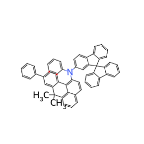 CC1(C)c2cc(-c3ccccc3)ccc2-c2c(N(c3ccccc3)c3ccc4c(c3)C3(c5ccccc5-c5ccccc53)c3ccccc3-4)ccc3cccc1c23